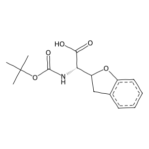 CC(C)(C)OC(=O)N[C@H](C(=O)O)C1Cc2ccccc2O1